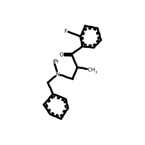 CC(CN(Cc1ccccc1)C(C)C)C(=O)c1ccccc1F